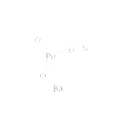 [Ba].[O]=[Ru](=[O])=[O].[Sr]